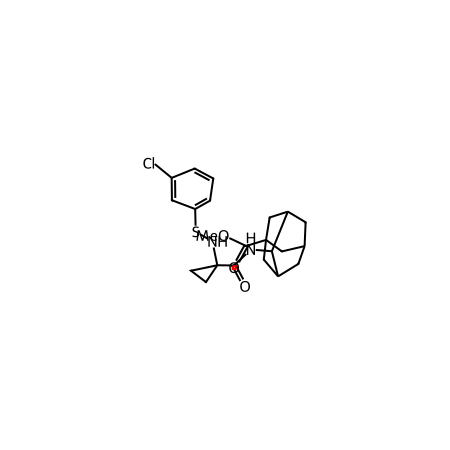 COC(=O)C12CC3CC(C1)C(NC(=O)C1(NSc4cccc(Cl)c4)CC1)C(C3)C2